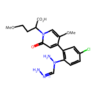 COCCC(C(=O)O)n1cc(OC)c(-c2cc(Cl)ccc2N(N)/C=N\N)cc1=O